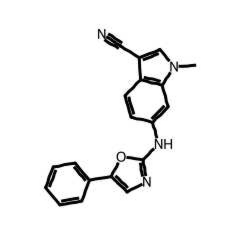 Cn1cc(C#N)c2ccc(Nc3ncc(-c4ccccc4)o3)cc21